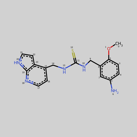 COc1ccc(N)cc1CNC(=S)NCc1ccnc2[nH]ccc12